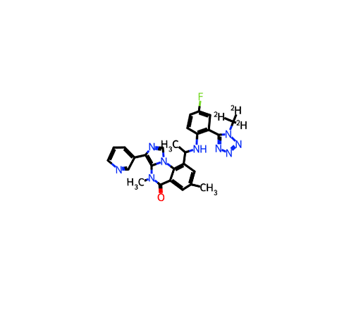 [2H]C([2H])([2H])n1nnnc1-c1cc(F)ccc1NC(C)c1cc(C)cc2c(=O)n(C)c3c(-c4cccnc4)ncn3c12